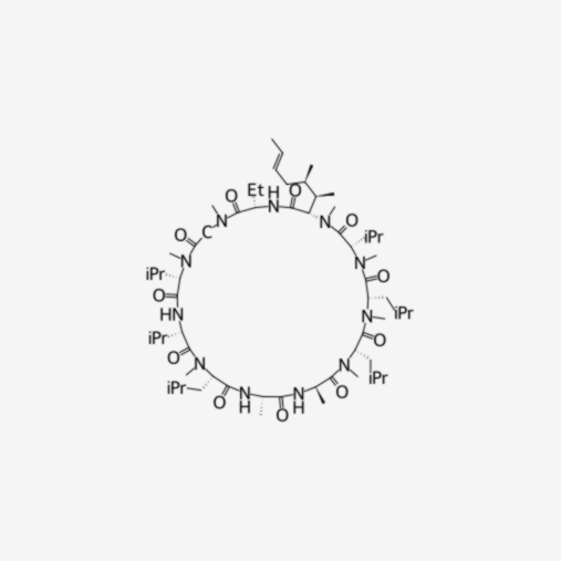 C/C=C/C[C@@H](C)[C@@H](C)[C@H]1C(=O)N[C@@H](CC)C(=O)N(C)CC(=O)N(C)[C@@H](C(C)C)C(=O)N[C@@H](C(C)C)C(=O)N(C)[C@@H](CC(C)C)C(=O)N[C@@H](C)C(=O)N[C@H](C)C(=O)N(C)[C@@H](CC(C)C)C(=O)N(C)[C@@H](CC(C)C)C(=O)N(C)[C@@H](C(C)C)C(=O)N1C